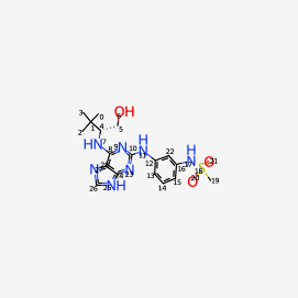 CC(C)(C)[C@H](CO)Nc1nc(Nc2cccc(NS(C)(=O)=O)c2)nc2[nH]cnc12